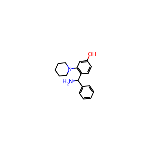 NC(c1ccccc1)c1ccc(O)cc1N1CCCCC1